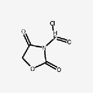 O=C1COC(=O)N1[PH](=O)Cl